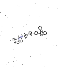 CC(=C(\C#N)C(=O)O)/C(C)=C(\C)c1ccc(-c2ccc(-c3ccc(-c4nc5ccccc5n4-c4ccccc4)cc3)s2)s1